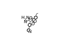 CCc1ccc2oc(=O)c3c(c2c1)OC(N)=C(C#N)C3c1ccc(-c2cccnc2)cc1